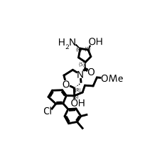 COCCCC[C@](O)(c1cccc(Cl)c1-c1ccc(C)c(C)c1)[C@H]1CN(C(=O)[C@H]2C[C@@H](N)[C@@H](O)C2)CCO1